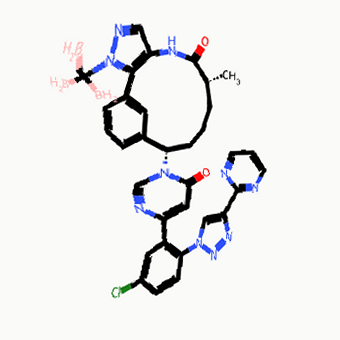 BC(B)(B)n1ncc2c1-c1cccc(c1)[C@@H](n1cnc(-c3cc(Cl)ccc3-n3cc(-c4ncccn4)nn3)cc1=O)CCC[C@@H](C)C(=O)N2